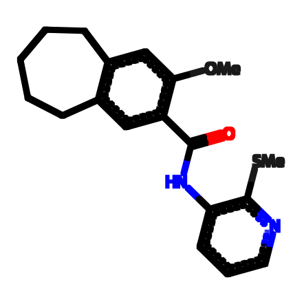 COc1cc2c(cc1C(=O)Nc1cccnc1SC)CCCCC2